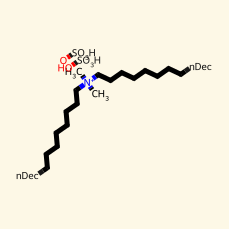 CCCCCCCCCCCCCCCCCC[N+](C)(C)CCCCCCCCCCCCCCCCCC.O=S(=O)(O)O.O=S(=O)([O-])O